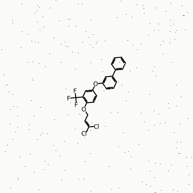 FC(F)(F)c1cc(Oc2cccc(-c3ccccc3)c2)ccc1OCC=C(Cl)Cl